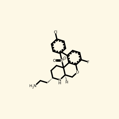 NCC[C@@H]1CCC2(S(=O)(=O)c3ccc(Cl)cc3)c3c(F)ccc(F)c3OC[C@H]2N1